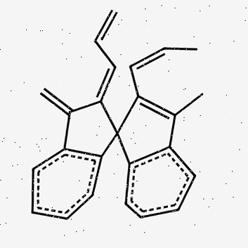 C=C/C=C1\C(=C)c2ccccc2C12C(/C=C\C)=C(C)c1ccccc12